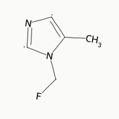 Cc1[c]n[c]n1CF